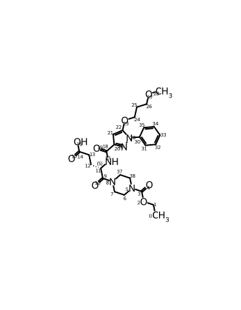 CCOC(=O)N1CCN(C(=O)[C@H](CCC(=O)O)NC(=O)c2cc(OCCCOC)n(-c3ccccc3)n2)CC1